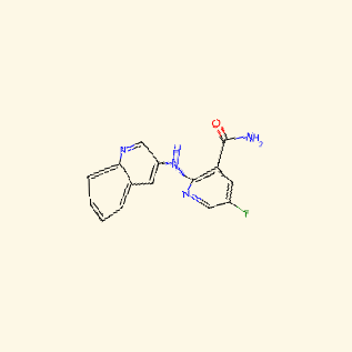 NC(=O)c1cc(F)cnc1Nc1cnc2ccccc2c1